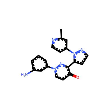 Cc1cc(-n2nccc2-c2nn(-c3cccc(N)c3)ccc2=O)ccn1